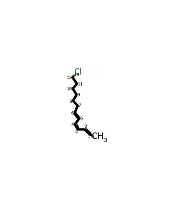 C/C=C/C=C\C=C\CCCCCCCl